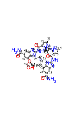 CCn1nc(C)cc1C(=O)Nc1nc2cc(C(N)=O)cc(OC)c2n1C/C=C/Cn1c(NC(=O)c2cc(C)nn2CC)nc2cc(C(N)=O)cc(OCO)c21